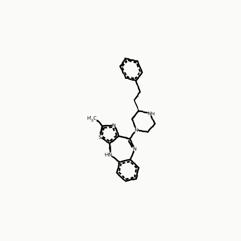 Cc1nc2c(s1)Nc1ccccc1N=C2N1CCNC(CCc2ccccc2)C1